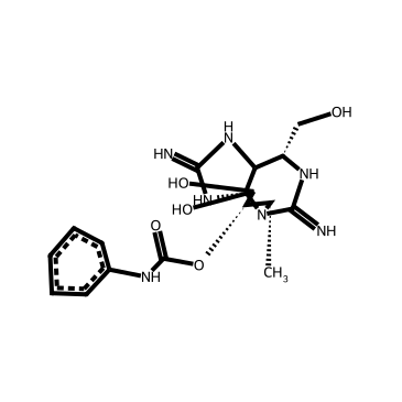 C[C@H]1[C@H](OC(=O)Nc2ccccc2)C(O)(O)[C@]23NC(=N)NC2[C@H](CO)NC(=N)N13